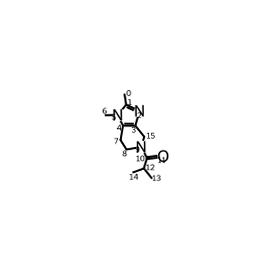 Cc1nc2c(n1C)CCN(C(=O)C(C)C)C2